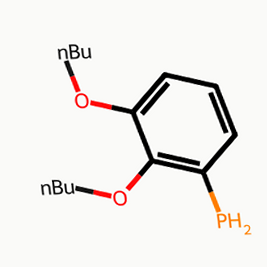 CCCCOc1cccc(P)c1OCCCC